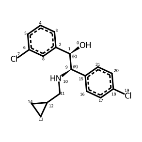 O[C@H](c1cccc(Cl)c1)[C@H](NCC1CC1)c1ccc(Cl)cc1